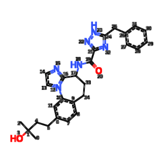 CC(C)(O)CCc1ccc2c(c1)-n1ccnc1C(NC(=O)c1n[nH]c(Cc3ccccc3)n1)CC2